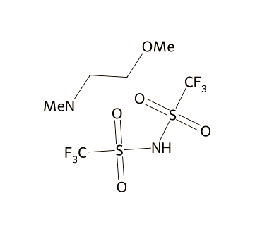 CNCCOC.O=S(=O)(NS(=O)(=O)C(F)(F)F)C(F)(F)F